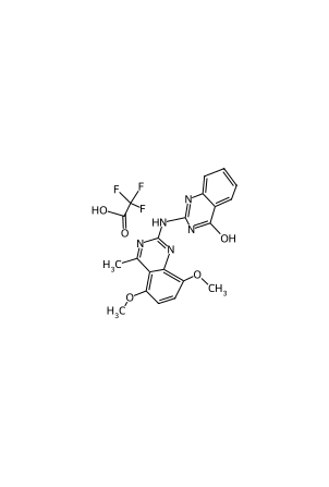 COc1ccc(OC)c2c(C)nc(Nc3nc(O)c4ccccc4n3)nc12.O=C(O)C(F)(F)F